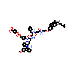 COc1ccc(C(NCCCC[C@H](NC(=O)C[C@H](Cc2ccccc2)NC(=O)CCC(=O)NCCCO[C@H]2CC[C@@]3(C)C(=CC[C@H]4[C@@H]5CC[C@H]([C@H](C)CCCC(C)C)[C@@]5(C)CC[C@@H]43)C2)C(=O)Nc2ccc(COC(=O)Oc3ccc(C(=O)O)cc3)cc2)(c2ccccc2)c2ccccc2)cc1